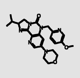 COc1ccc(CN2C(=O)N3CC(C(C)C)N=C3c3ncc(N4CCOCC4)cc32)nc1